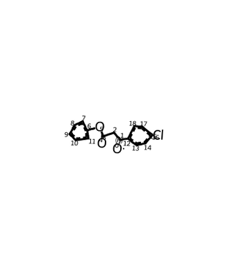 [O][C@H](CC(=O)Oc1ccccc1)c1ccc(Cl)cc1